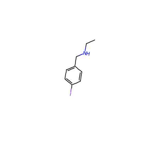 CCNCc1ccc(I)cc1